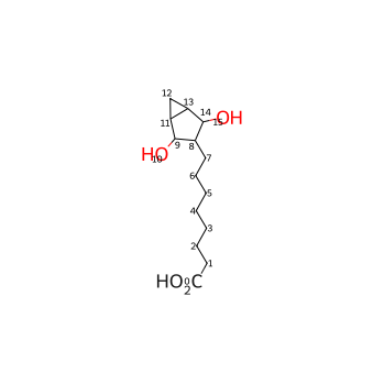 O=C(O)CCCCCCCC1C(O)C2CC2C1O